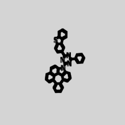 c1ccc(-c2nc(-c3ccc4sc5ccccc5c4c3)nc(-n3c4cccc5c4c4c6c(cccc6ccc43)-c3ccccc3-5)n2)cc1